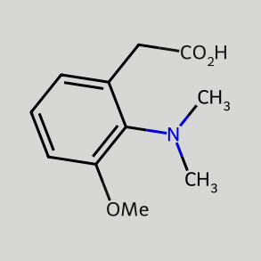 COc1cccc(CC(=O)O)c1N(C)C